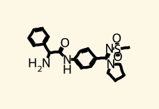 CS(=O)(=O)N=C(c1ccc(NC(=O)C(N)c2ccccc2)cc1)N1CCCC1